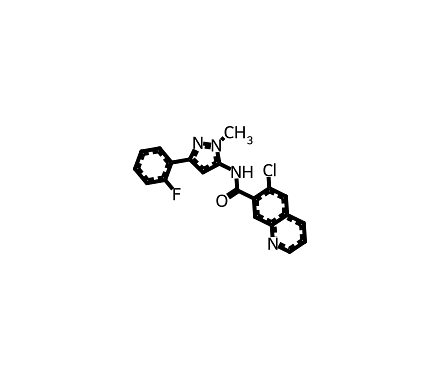 Cn1nc(-c2ccccc2F)cc1NC(=O)c1cc2ncccc2cc1Cl